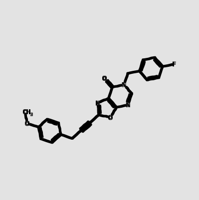 COc1ccc(CC#Cc2nc3c(=O)n(Cc4ccc(F)cc4)cnc3o2)cc1